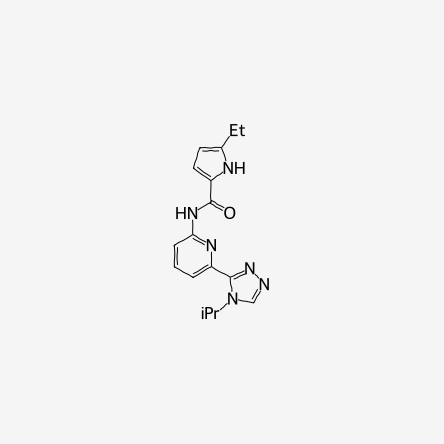 CCc1ccc(C(=O)Nc2cccc(-c3nncn3C(C)C)n2)[nH]1